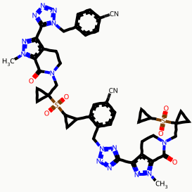 Cn1nc(-c2nnn(Cc3ccc(C#N)cc3C3CC3S(=O)(=O)C3(CN4CCc5c(-c6nnnn6Cc6ccc(C#N)cc6)nn(C)c5C4=O)CC3)n2)c2c1C(=O)N(CC1(S(=O)(=O)C3CC3)CC1)CC2